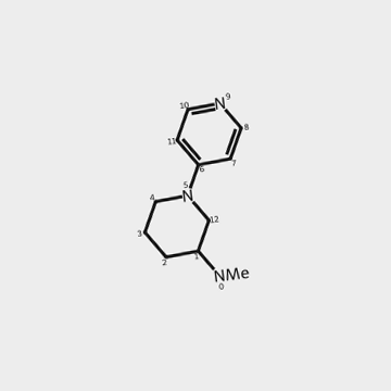 CNC1CCCN(c2ccncc2)C1